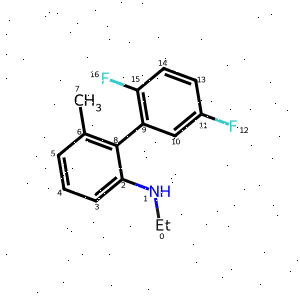 CCNc1cccc(C)c1-c1cc(F)ccc1F